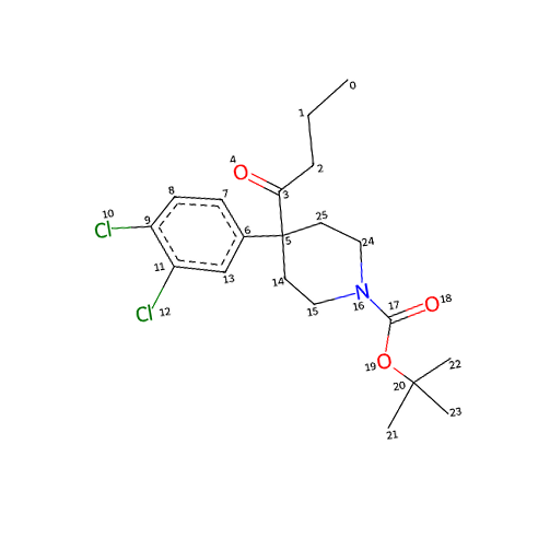 CCCC(=O)C1(c2ccc(Cl)c(Cl)c2)CCN(C(=O)OC(C)(C)C)CC1